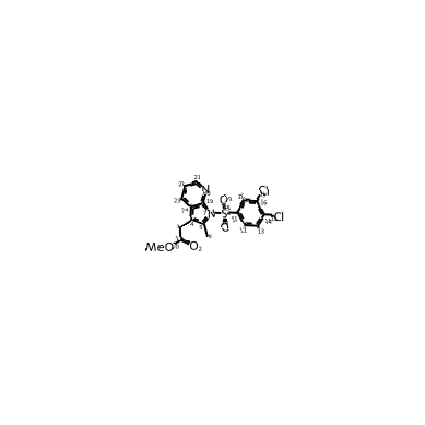 COC(=O)Cc1c(C)n(S(=O)(=O)c2ccc(Cl)c(Cl)c2)c2ncccc12